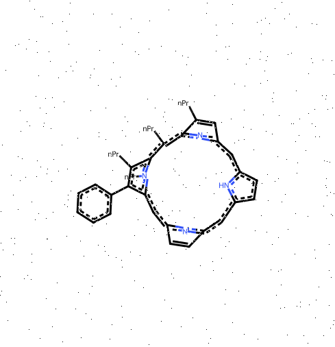 CCCC1=Cc2cc3ccc(cc4nc(cc5c(-c6ccccc6)c(CCC)c(c(CCC)c1n2)n5CCC)C=C4)[nH]3